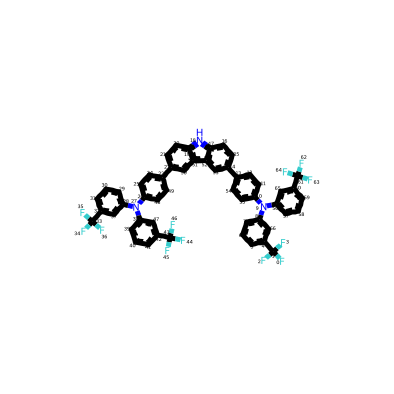 FC(F)(F)c1cccc(N(c2ccc(-c3ccc4[nH]c5ccc(-c6ccc(N(c7cccc(C(F)(F)F)c7)c7cccc(C(F)(F)F)c7)cc6)cc5c4c3)cc2)c2cccc(C(F)(F)F)c2)c1